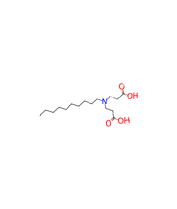 CCCCCCCCCCN(CCC(=O)O)CCC(=O)O